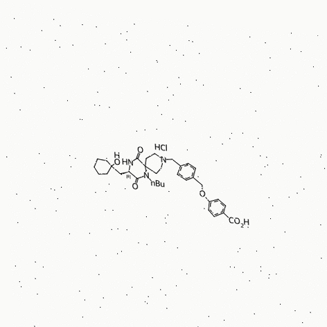 CCCCN1C(=O)[C@@H](CC2(O)CCCCC2)NC(=O)C12CCN(Cc1ccc(COc3ccc(C(=O)O)cc3)cc1)CC2.Cl